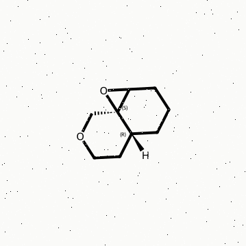 C1CC2O[C@@]23COCC[C@H]3C1